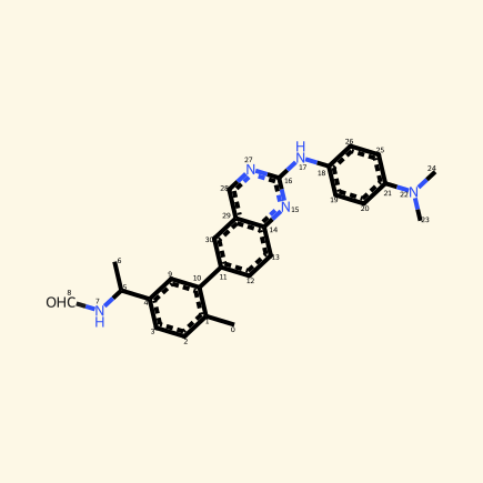 Cc1ccc(C(C)NC=O)cc1-c1ccc2nc(Nc3ccc(N(C)C)cc3)ncc2c1